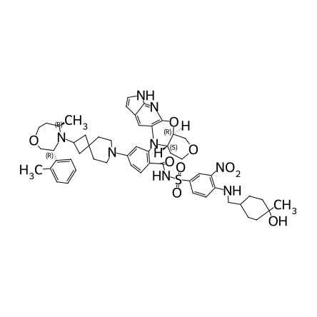 Cc1ccccc1[C@@H]1COCC[C@@H](C)N1C1CC2(CCN(c3ccc(C(=O)NS(=O)(=O)c4ccc(NCC5CCC(C)(O)CC5)c([N+](=O)[O-])c4)c(N4c5cc6cc[nH]c6nc5O[C@H]5COCC[C@@H]54)c3)CC2)C1